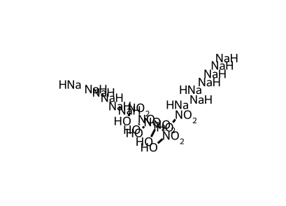 O=[N+]([O-])O.O=[N+]([O-])O.O=[N+]([O-])O.O=[N+]([O-])O.O=[N+]([O-])O.O=[N+]([O-])O.[NaH].[NaH].[NaH].[NaH].[NaH].[NaH].[NaH].[NaH].[NaH].[NaH].[NaH].[NaH].[NaH]